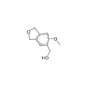 COc1cc2c(cc1CO)COC2